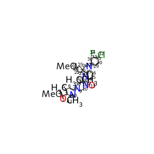 COC(=O)c1c(C)cc(N2CCN(C(=O)c3ccc4c(n3)C3(CC[C@H](OC)C3)CN4c3ccc(Cl)c(F)c3)C(C)(C)C2)nc1C